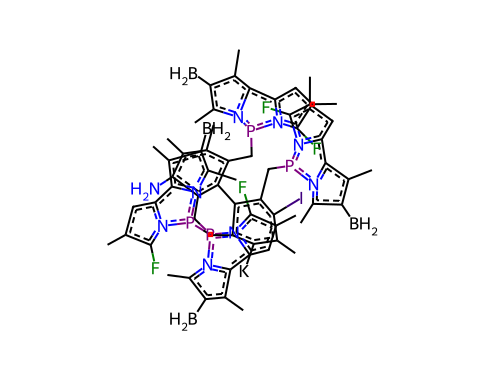 Bc1c(C)c2c3cc(C)c(F)n3p(Cc3c(C)c(C)c(N)c(Cp4n5c(F)c(C)cc5c5c(C)c(B)c(C)n54)c3-c3c(Cp4n5c(F)c(C)cc5c5c(C)c(B)c(C)n54)[c]([K])c(C)c(I)c3Cp3n4c(F)c(C)cc4c4c(C)c(B)c(C)n43)n2c1C